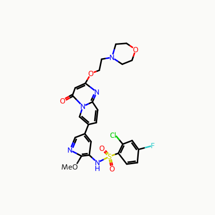 COc1ncc(-c2ccc3nc(OCCN4CCOCC4)cc(=O)n3c2)cc1NS(=O)(=O)c1ccc(F)cc1Cl